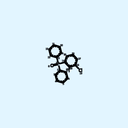 O=P(c1ccccc1)(c1ccccc1)c1cccc(Cl)c1I